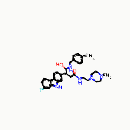 Cc1ccc(CNC(O)C(CC(=O)NCCN2CCN(C)CC2)c2ccc3c(c2)[nH]c2cc(F)ccc23)cc1